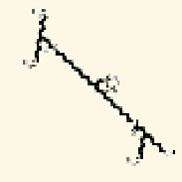 CCCCCC(CCCCC)CC(=O)OCCCCCCCCCC(CCCCCCCCCOC(=O)CC(CCCCC)CCCCC)CN(C)C